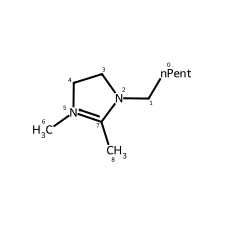 CCCCCCN1CC[N+](C)=C1C